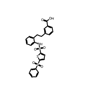 O=C(O)c1cccc(CCc2ccccc2NS(=O)(=O)c2ccc(S(=O)(=O)c3ccccc3)s2)c1